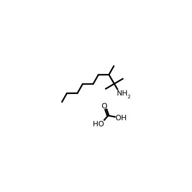 CCCCCCC(C)C(C)(C)N.O=C(O)O